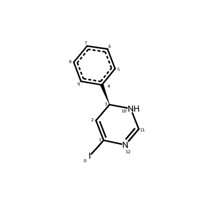 IC1=C[C@@H](c2ccccc2)NC=N1